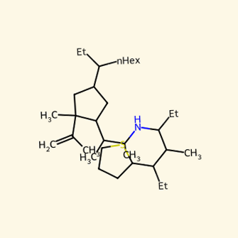 C=C(C)C1(C)CC(C(CC)CCCCCC)CC1C(C)C(C)NC(CC)C(C)C(CC)C1CCCS1